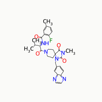 Cc1ccc(F)c(C(=O)N[C@@H](C(=O)N2CCC3(CC2)C(=O)N(C)C(=O)N3Cc2ccc3nccnc3c2)C(C)C)c1